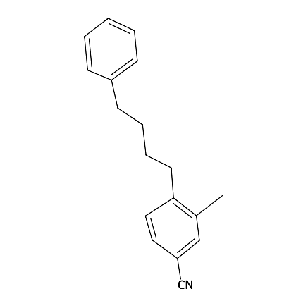 Cc1cc(C#N)ccc1CCCCc1ccccc1